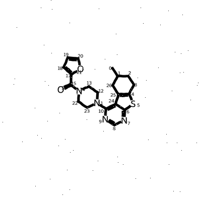 CC1CCc2sc3ncnc(N4CCN(C(=O)c5ccco5)CC4)c3c2C1